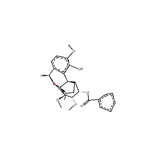 COc1ccc2c(c1O)[C@@]13CCN(C)[C@@]14C[C@H]2O[C@@]4(OC)[C@@H](OC)[C@@H](OC(=O)c1ccccc1)C3